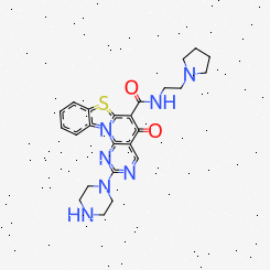 O=C(NCCN1CCCC1)c1c(=O)c2cnc(N3CCNCC3)nc2n2c1sc1ccccc12